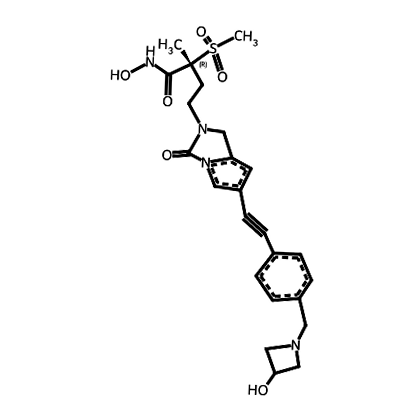 C[C@@](CCN1Cc2cc(C#Cc3ccc(CN4CC(O)C4)cc3)cn2C1=O)(C(=O)NO)S(C)(=O)=O